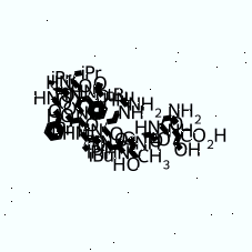 CC[C@H](C)C(NC(=O)[C@@H](CCCNC(=N)N)NC(=O)[C@H](CC(C)C)NC(=O)[C@@H](NC(=O)[C@@H](NC(=O)[C@H](CC(C)C)NC(=O)[C@@H](CC(C)C)NC(=O)OCc1ccccc1)[C@H](NC(=O)OC(C)(C)C)c1ccccc1)[C@H](O)C(C)C)C(=O)N[C@H](C(=O)NCC(=O)N[C@@H](CC(N)=O)C(=O)N[C@@H](CO)C(=O)O)[C@@H](C)O